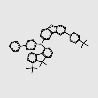 CC(C)(C)c1ccc(-c2ccc3oc4ccc(N(c5ccc(-c6ccccc6)cc5)c5cccc6c5-c5cccc(C(C)(C)C)c5C6(C)C)cc4c3c2)cc1